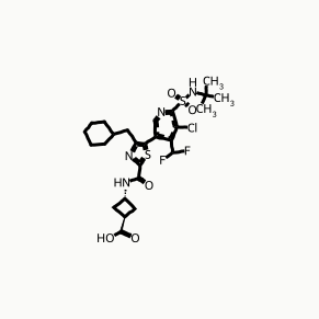 CC(C)(C)NS(=O)(=O)c1ncc(-c2sc(C(=O)N[C@H]3C[C@H](C(=O)O)C3)nc2CC2CCCCC2)c(C(F)F)c1Cl